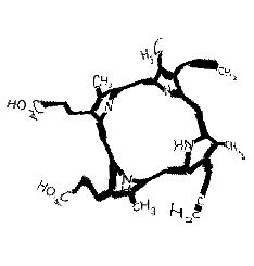 C=C=Cc1c(C)c2cc3nc(cc4nc(cc5[nH]c(cc1[nH]2)c(C)c5CCC(=O)O)C(CCC(=O)O)=C4C)C(C)=C3C=C